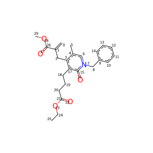 C=C(Cc1c(C)cn(Cc2ccccc2)c(=O)c1CCCC(=O)OCC)C(=O)OC